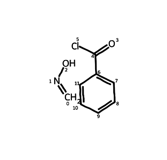 C=NO.O=C(Cl)c1ccccc1